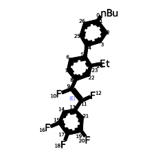 CCCCc1ccc(-c2ccc(/C(F)=C(\F)c3cc(F)c(F)c(F)c3)cc2CC)cc1